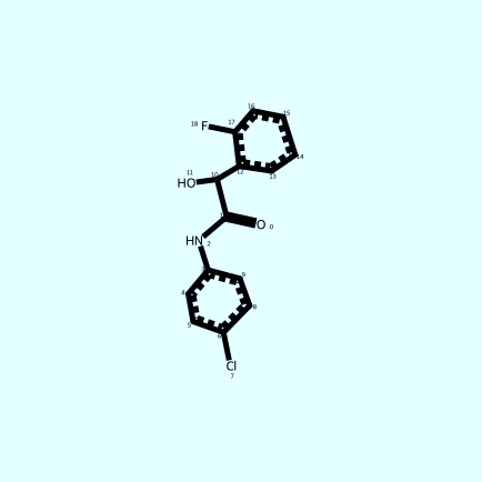 O=C(Nc1ccc(Cl)cc1)C(O)c1ccccc1F